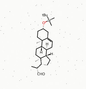 C[C@@H](C=O)[C@H]1CC[C@H]2[C@@H]3CC=C4C[C@@H](O[Si](C)(C)C(C)(C)C)CC[C@]4(C)[C@H]3CC[C@]12C